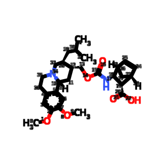 COc1cc2c(cc1OC)[C@H]1C[C@@H](COC(=O)N[C@H]3[C@@H](C(=O)O)[C@H]4C=C[C@@H]3C4)[C@H](CC(C)C)CN1CC2